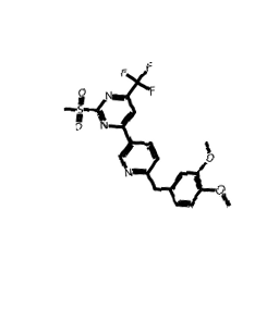 COc1ccc(Cc2ccc(-c3cc(C(F)(F)F)nc(S(C)(=O)=O)n3)cn2)cc1OC